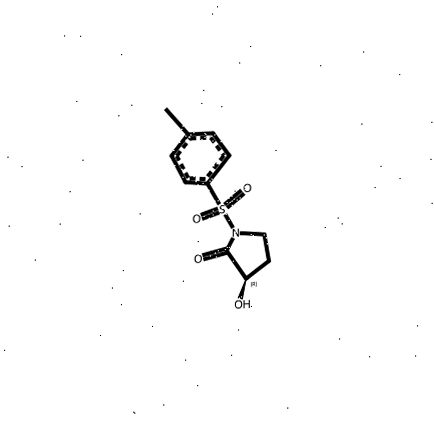 Cc1ccc(S(=O)(=O)N2CC[C@@H](O)C2=O)cc1